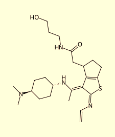 C=C/N=C1/SC2=C(/C1=C(/C)N[C@H]1CC[C@H](N(C)C)CC1)C(CC(=O)NCCCO)CC2